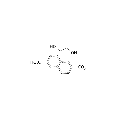 O=C(O)c1ccc2cc(C(=O)O)ccc2c1.OCCO